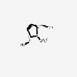 O=C(O)N1[C@@H](CO)C=C[C@H]1CO